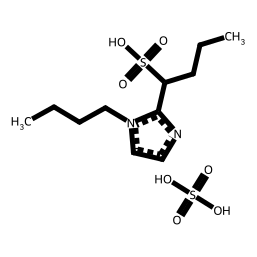 CCCCn1ccnc1C(CCC)S(=O)(=O)O.O=S(=O)(O)O